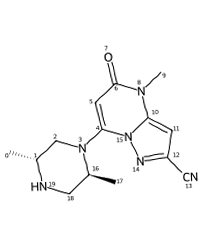 C[C@@H]1CN(c2cc(=O)n(C)c3cc(C#N)nn23)[C@@H](C)CN1